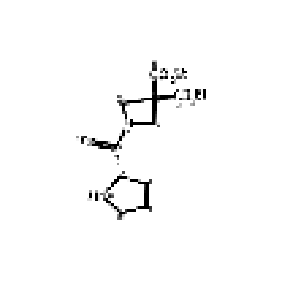 CCOC(=O)C1(C(=O)OCC)CN(C(=O)[C@@H]2CCCN2)C1